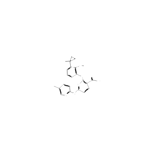 COc1c(Nc2nc(Nc3ccc(F)cn3)ccc2C(=O)O)cccc1C1(F)CC1